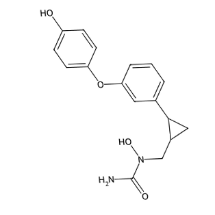 NC(=O)N(O)CC1CC1c1cccc(Oc2ccc(O)cc2)c1